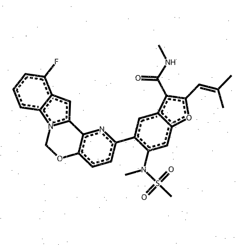 CNC(=O)c1c(C=C(C)C)oc2cc(N(C)S(C)(=O)=O)c(-c3ccc4c(n3)-c3cc5c(F)cccc5n3CO4)cc12